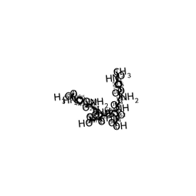 CC(=O)Nc1ccc(OC(=O)C(N)CCC(=O)NC(CSSCC(NC(=O)CCC(N)C(=O)Oc2ccc(NC(C)=O)cc2)C(=O)NCC(=O)O)C(=O)NCC(=O)O)cc1